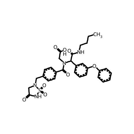 CCCCNC(=O)C(c1cccc(Oc2ccccc2)c1)N(CC(=O)O)C(=O)c1ccc(CN2CC(=O)NS2(=O)=O)cc1